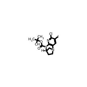 CC(C)(C)OC(=O)N1c2nc(Cl)c(I)cc2N2CC[C@H]1C2